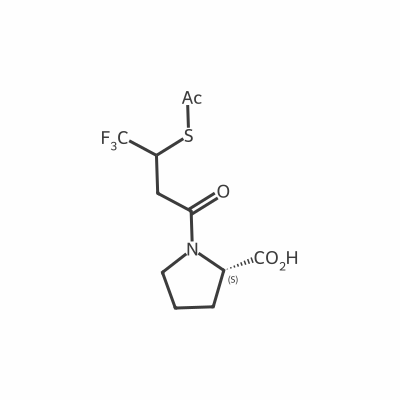 CC(=O)SC(CC(=O)N1CCC[C@H]1C(=O)O)C(F)(F)F